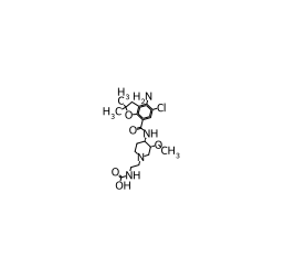 CO[C@H]1CN(CCNC(=O)O)CC[C@H]1NC(=O)c1cc(Cl)c(N)c2c1OC(C)(C)C2